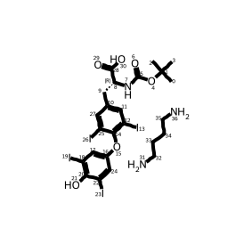 CC(C)(C)OC(=O)N[C@H](Cc1cc(I)c(Oc2cc(I)c(O)c(I)c2)c(I)c1)C(=O)O.NCCCCN